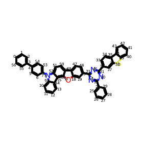 c1ccc(-c2ccc(-n3c4ccccc4c4c5oc6cc(-c7nc(-c8ccccc8)nc(-c8ccc9c(c8)sc8ccccc89)n7)ccc6c5ccc43)cc2)cc1